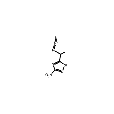 CC(N=[N+]=[N-])c1nc([N+](=O)[O-])n[nH]1